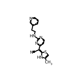 CC1=CSC(=C(C#N)c2ccnc(NCCc3cccnc3)n2)N1